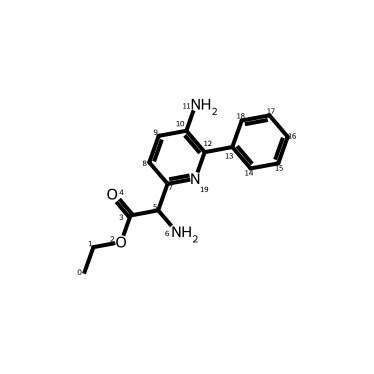 CCOC(=O)C(N)c1ccc(N)c(-c2ccccc2)n1